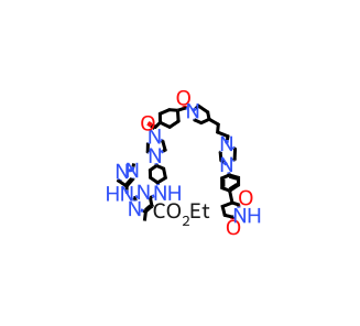 CCOC(=O)c1c(C)nc(Nc2cnn(C)c2)nc1NC1CCC(N2CCN(C(=O)C3CCC(C(=O)N4CCC(CCCN5CCN(c6ccc(C7CCC(=O)NC7=O)cc6)CC5)CC4)CC3)CC2)CC1